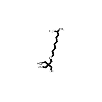 CC(C)CCCCCCCOCC(CO)(CO)CO